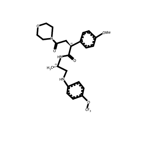 COc1ccc([C@H](CC(=O)N2CCOCC2)C(=O)N[C@@H](C)CNc2ccc(OC(F)(F)F)cc2)cc1